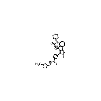 CN1CCC(CNC(=O)c2ccc(-c3[nH]nc4c3C(=O)c3c-4cccc3N(C(N)=O)N3CCOCC3)s2)C1